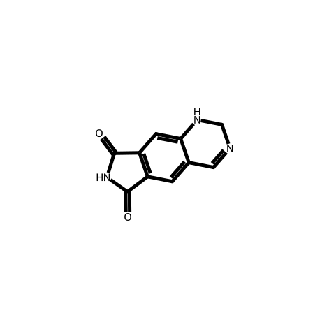 O=C1NC(=O)c2cc3c(cc21)C=NCN3